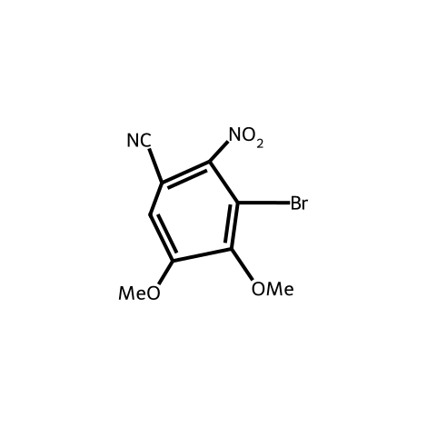 COc1cc(C#N)c([N+](=O)[O-])c(Br)c1OC